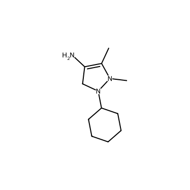 CC1=C(N)CN(C2CCCCC2)N1C